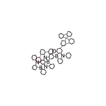 c1ccc(-c2cccc(-c3ccccc3)c2N2c3cc4c(cc3B3c5ccccc5N5c6ccccc6B6c7ccccc7N(c7ccccc7)c7cc2c3c5c76)B2c3ccccc3N(c3ccccc3)c3cc(-c5ccc6c(c5)-c5ccccc5C65c6ccccc6-c6ccccc65)cc(c32)O4)cc1